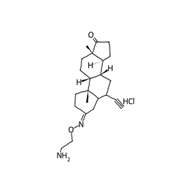 C#CC1C[C@@H]2[C@@H](CC[C@]3(C)C(=O)CC[C@@H]23)[C@@]2(C)CCC(=NOCCN)CC12.Cl